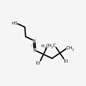 CCC(C)(C)CC(C)(CC)/N=N/CCS